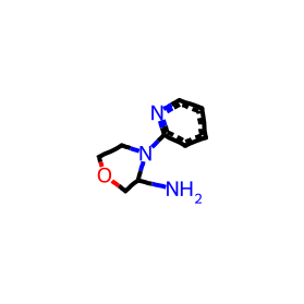 NC1COCCN1c1ccccn1